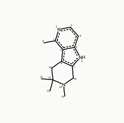 Cc1nccc2[nH]c3c(c12)CC(C)(C)N(C)C3